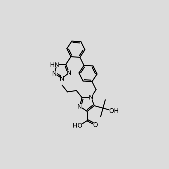 CCCc1nc(C(=O)O)c(C(C)(C)O)n1Cc1ccc(-c2ccccc2-c2nnn[nH]2)cc1